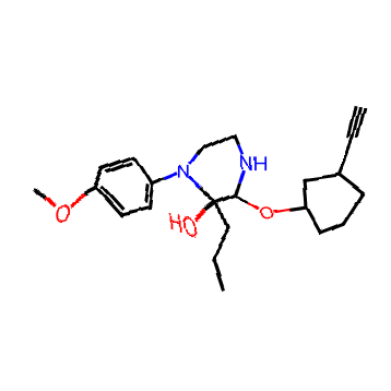 C#CC1CCCC(OC2NCCN(c3ccc(OC)cc3)C2(O)CCC)C1